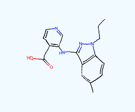 CCCn1nc(Nc2cnccc2C(=O)O)c2cc(C)ccc21